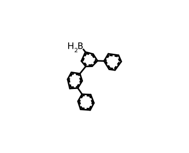 Bc1cc(-c2ccccc2)cc(-c2cccc(-c3ccccc3)c2)c1